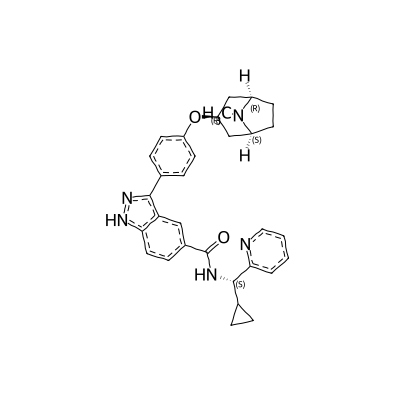 CN1[C@@H]2CC[C@H]1C[C@@H](Oc1ccc(-c3n[nH]c4ccc(C(=O)N[C@H](c5ccccn5)C5CC5)cc34)cc1)C2